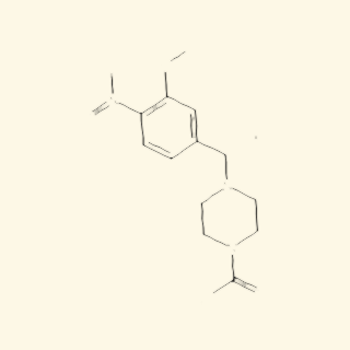 COc1cc([C@H](O)N2CCN(C(C)=O)CC2)ccc1[N+](=O)[O-]